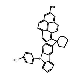 Cc1ccc(-n2c3ccccc3c3cc(C4(c5ccc6ccc7cc(C(C)(C)C)cc8ccc5c6c78)CCCCC4)ccc32)cc1